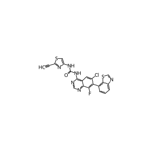 C#Cc1nc(NC(=O)Nc2ncnc3c(F)c(-c4cccc5ncsc45)c(Cl)cc23)cs1